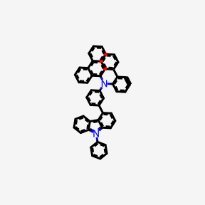 c1ccc(N(c2cccc(-c3cccc4c3c3ccccc3n4-c3ccccc3)c2)c2cc3ccccc3c3ccccc23)c(-c2ccccc2)c#1